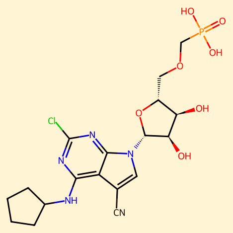 N#Cc1cn([C@@H]2O[C@H](COCP(=O)(O)O)[C@@H](O)[C@H]2O)c2nc(Cl)nc(NC3CCCC3)c12